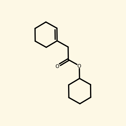 O=C(CC1=CCCCC1)OC1CCCCC1